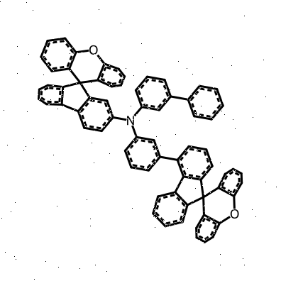 c1ccc(-c2cccc(N(c3cccc(-c4cccc5c4-c4ccccc4C54c5ccccc5Oc5ccccc54)c3)c3ccc4c(c3)C3(c5ccccc5Oc5ccccc53)c3ccccc3-4)c2)cc1